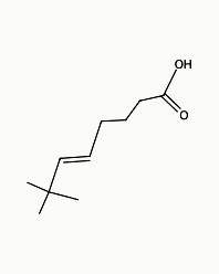 CC(C)(C)C=CCCCC(=O)O